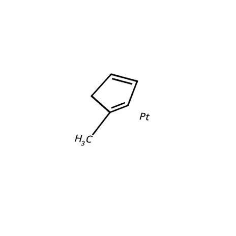 CC1=CC=CC1.[Pt]